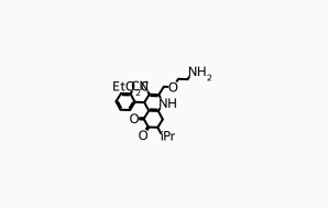 CCOC(=O)C1=C(COCCN)NC2=C(C(=O)C(=O)C(C(C)C)C2)C1c1ccccc1C#N